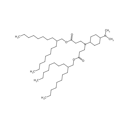 CCCCCCCCC(CCCCCCCC)COC(=O)CCN(CCC(=O)OCC(CCCCCCCC)CCCCCCCC)C1CCC(N(C)C)CC1